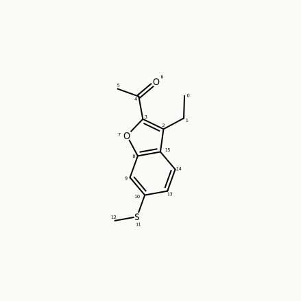 CCc1c(C(C)=O)oc2cc(SC)ccc12